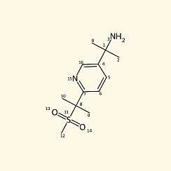 CC(C)(N)c1ccc(C(C)(C)S(C)(=O)=O)nc1